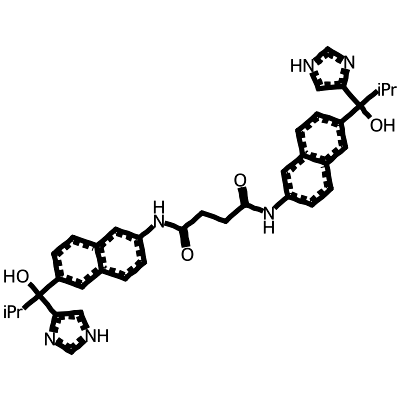 CC(C)C(O)(c1ccc2cc(NC(=O)CCC(=O)Nc3ccc4cc(C(O)(c5c[nH]cn5)C(C)C)ccc4c3)ccc2c1)c1c[nH]cn1